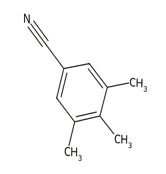 Cc1cc(C#N)cc(C)c1C